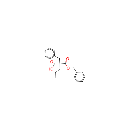 CCCC(Cc1ccccc1)(C(=O)O)C(=O)OCc1ccccc1